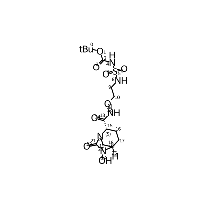 CC(C)(C)OC(=O)NS(=O)(=O)NCCONC(=O)[C@@H]1CC[C@H]2CN1C(=O)N2O